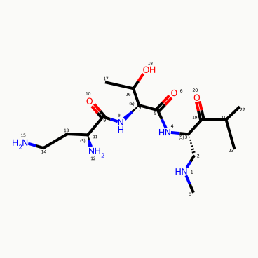 CNC[C@H](NC(=O)[C@@H](NC(=O)[C@@H](N)CCN)C(C)O)C(=O)C(C)C